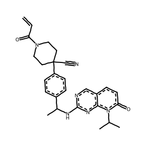 C=CC(=O)N1CCC(C#N)(c2ccc(C(C)Nc3ncc4ccc(=O)n(C(C)C)c4n3)cc2)CC1